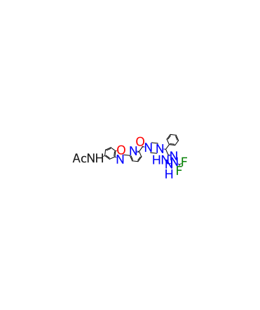 CC(=O)Nc1ccc2oc(-c3cccc(C(=O)N4CCN(C(C5=NN(C(F)F)NN5)c5ccccc5)CC4)n3)nc2c1